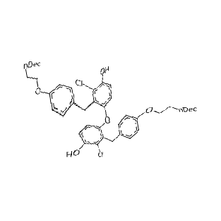 CCCCCCCCCCCCOc1ccc(Cc2c(Oc3ccc(O)c(Cl)c3Cc3ccc(OCCCCCCCCCCCC)cc3)ccc(O)c2Cl)cc1